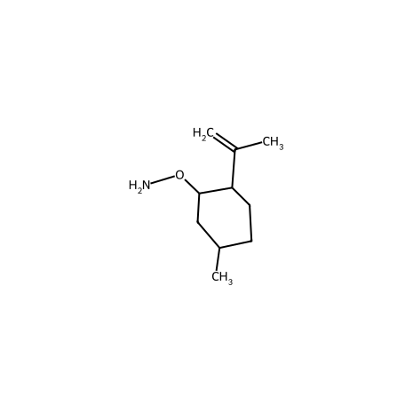 C=C(C)C1CCC(C)CC1ON